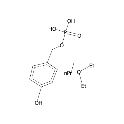 CCCC.CCOCC.O=P(O)(O)OCc1ccc(O)cc1